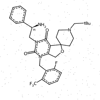 CC(C)(C)CN1CCC2(CC1)OCc1c2c(=O)n(C[C@H](N)c2ccccc2)c(=O)n1Cc1c(F)cccc1C(F)(F)F